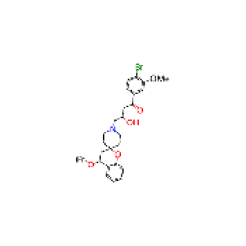 COc1cc(C(=O)CC(O)CN2CCC3(CC2)CC(OC(C)C)c2ccccc2O3)ccc1Br